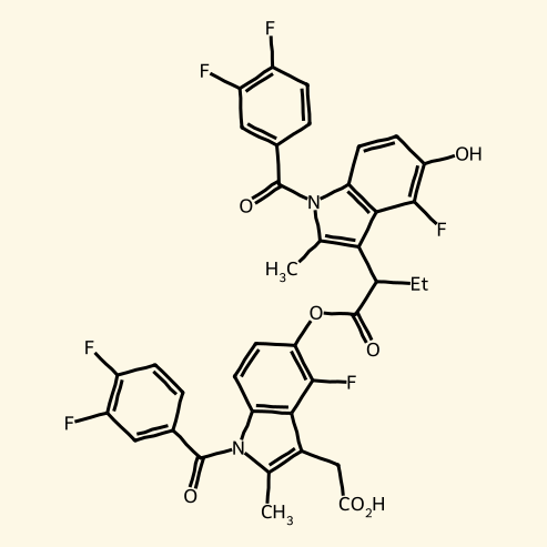 CCC(C(=O)Oc1ccc2c(c1F)c(CC(=O)O)c(C)n2C(=O)c1ccc(F)c(F)c1)c1c(C)n(C(=O)c2ccc(F)c(F)c2)c2ccc(O)c(F)c12